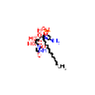 CCCCCCCCCCCCCCC(CO[PH](=O)O)(C(O)[C@H]1O[C@@H](n2ccc(=O)[nH]c2=O)[C@H](O)[C@@H]1O)N1CCC(N)C1